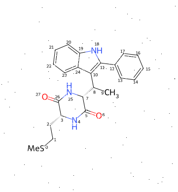 CSCC[C@H]1NC(=O)[C@@H](C(C)c2c(-c3ccccc3)[nH]c3ccccc23)NC1=O